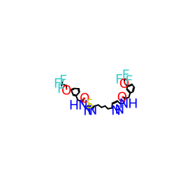 O=C(Cc1cccc(OC(F)(F)F)c1)Nc1ccc(CCCCc2nnc(NC(=O)Cc3cccc(OCC(F)(F)F)c3)s2)nn1